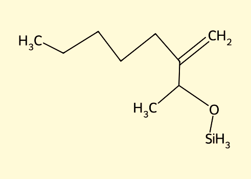 C=C(CCCCC)C(C)O[SiH3]